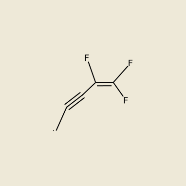 [CH2]C#CC(F)=C(F)F